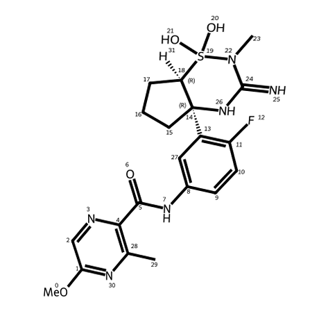 COc1cnc(C(=O)Nc2ccc(F)c([C@]34CCC[C@H]3S(O)(O)N(C)C(=N)N4)c2)c(C)n1